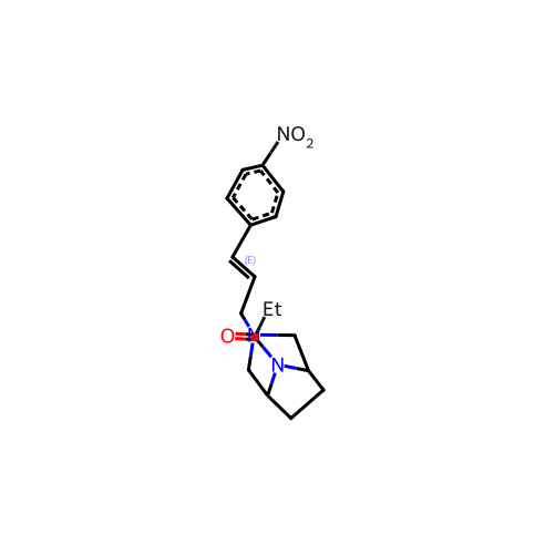 CCC(=O)N1C2CCC1CN(C/C=C/c1ccc([N+](=O)[O-])cc1)C2